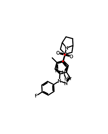 CCCn1cc(S(=O)(=O)N2C3CCC2CN(c2cc4cnn(-c5ccc(F)cc5)c4cc2C)C3)cn1